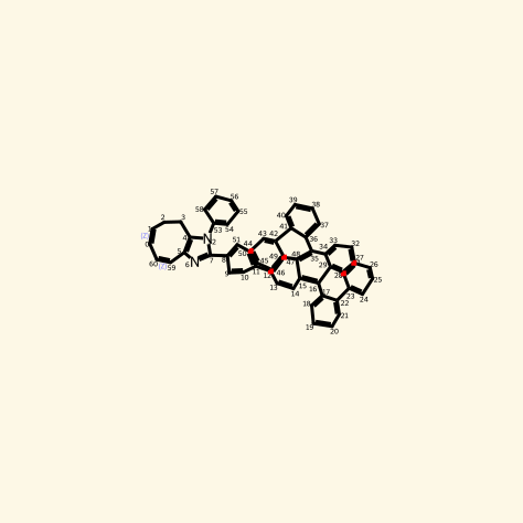 C1=C\CCc2c(nc(-c3ccc(-c4ccc5c(-c6ccccc6-c6ccccc6)c6ccccc6c(-c6ccccc6-c6ccccc6)c5c4)cc3)n2-c2ccccc2)\C=C/1